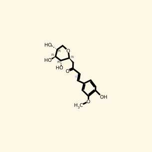 COc1cc(/C=C/C(=O)C[C@@H]2OC[C@@H](O)[C@H](O)[C@H]2O)ccc1O